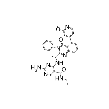 CCNC(=O)c1cnc(N)nc1NC(C)c1nc2cccc(-c3ccnc(OC)c3)c2c(=O)n1-c1ccccc1